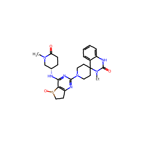 CCN1C(=O)Nc2ccccc2C12CCN(c1nc3c(c(N[C@H]4CCC(=O)N(C)C4)n1)[S+]([O-])CC3)CC2